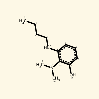 CCCCNc1cccc(O)c1N(C)C